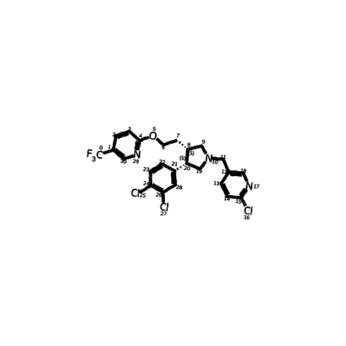 FC(F)(F)c1ccc(OCC[C@@H]2CN(Cc3ccc(Cl)nc3)C[C@@H]2c2ccc(Cl)c(Cl)c2)nc1